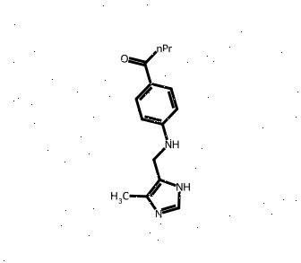 CCCC(=O)c1ccc(NCc2[nH]cnc2C)cc1